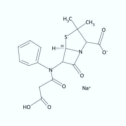 CC1(C)S[C@@H]2C(N(C(=O)CC(=O)O)c3ccccc3)C(=O)N2C1C(=O)[O-].[Na+]